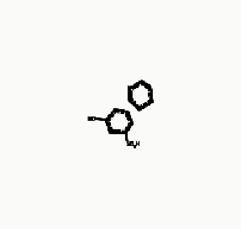 N#Cc1cccc(S(=O)(=O)O)c1.c1ccncc1